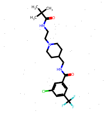 CC(C)(C)C(=O)NCCN1CCC(CNC(=O)c2cc(Cl)cc(C(F)(F)F)c2)CC1